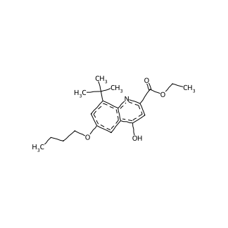 CCCCOc1cc(C(C)(C)C)c2nc(C(=O)OCC)cc(O)c2c1